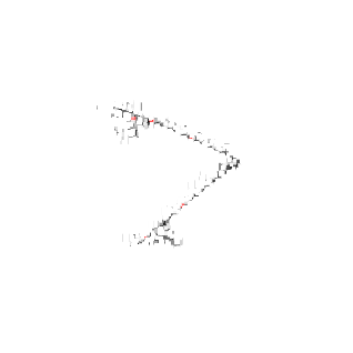 C[C@H](CC(=O)NCC(O)COCC(O)COCC(O)COCC(O)COCC(O)COCC(O)COC(=O)NCCN(C[C@H](O)[C@@H](O)[C@H](O)[C@H](O)CO)C[C@H](O)[C@@H](O)[C@H](O)[C@H](O)CO)C(=O)NCC(O)COCC(O)COCC(O)COCC(O)COCC(O)COCC(O)COC(=O)NCCN(C[C@H](O)[C@@H](O)[C@H](O)[C@H](O)CO)C[C@H](O)[C@@H](O)[C@H](O)[C@H](O)CO